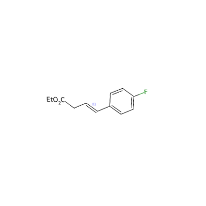 CCOC(=O)C/C=C/c1ccc(F)cc1